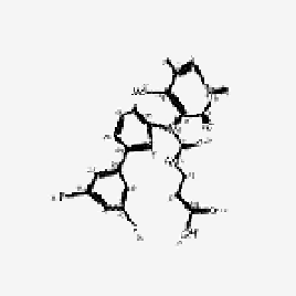 Cc1cn(C)c(=O)c(N(C(=O)NCCC(=O)O)c2cccc(-c3cc(F)cc(F)c3)c2)c1O